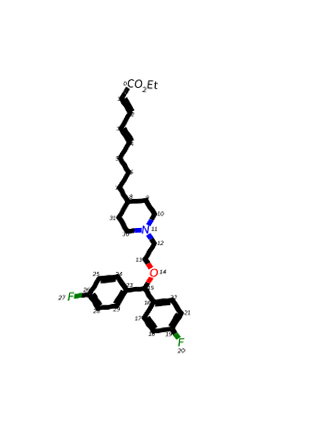 CCOC(=O)C=CC=CCCCC1CCN(CCOC(c2ccc(F)cc2)c2ccc(F)cc2)CC1